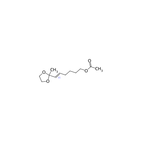 CC(=O)OCCCC/C=C/C1(C)OCCO1